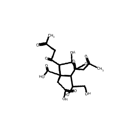 CC(=O)CC(=O)C(C(O)CO)C(CC(=O)O)(C(=O)O)C(C(=O)CC(C)=O)C(O)CO